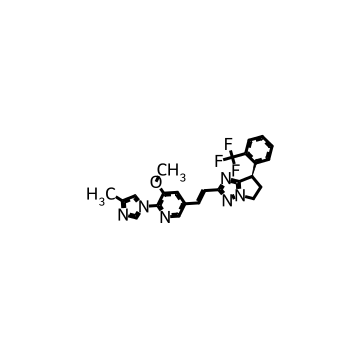 COc1cc(/C=C/c2nc3n(n2)CC[C@@H]3c2ccccc2C(F)(F)F)cnc1-n1cnc(C)c1